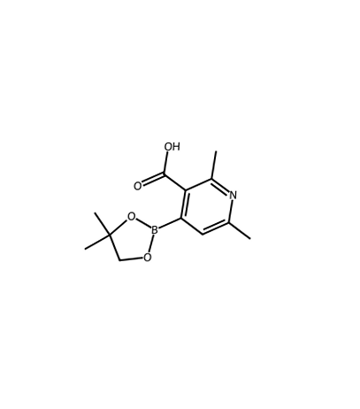 Cc1cc(B2OCC(C)(C)O2)c(C(=O)O)c(C)n1